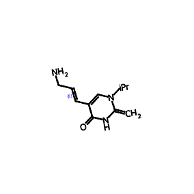 C=C1NC(=O)C(/C=C/CN)=CN1C(C)C